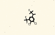 CC(c1cc(Cl)c(Cl)c(C(C)(F)F)c1)C(C)(C)F